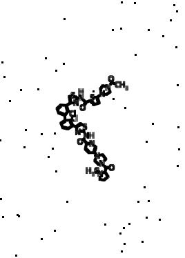 CC(=O)N1CCN(c2ccc(C(=O)Nc3nc(-c4cccc(-c5cccc(-c6csc(NC(=O)c7ccc(N8CCN(C(=O)C9CCCN9C)CC8)cn7)n6)c5Cl)c4Cl)cs3)s2)CC1